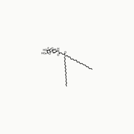 CCCCCCCCCCCCCCCCCCN(CCCCCCCCCCCCCCCCCC)C(=O)CCC(=O)Nc1ccn([C@@H]2O[C@H](CO)[C@@H](O)C2(F)F)c(=O)n1